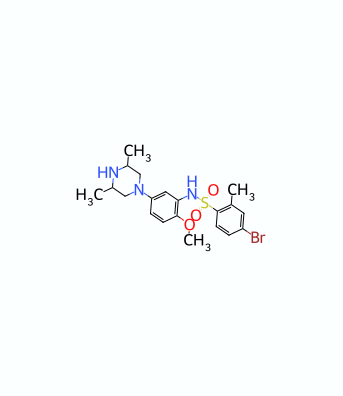 COc1ccc(N2CC(C)NC(C)C2)cc1NS(=O)(=O)c1ccc(Br)cc1C